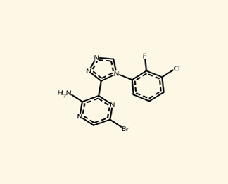 Nc1ncc(Br)nc1-c1nncn1-c1cccc(Cl)c1F